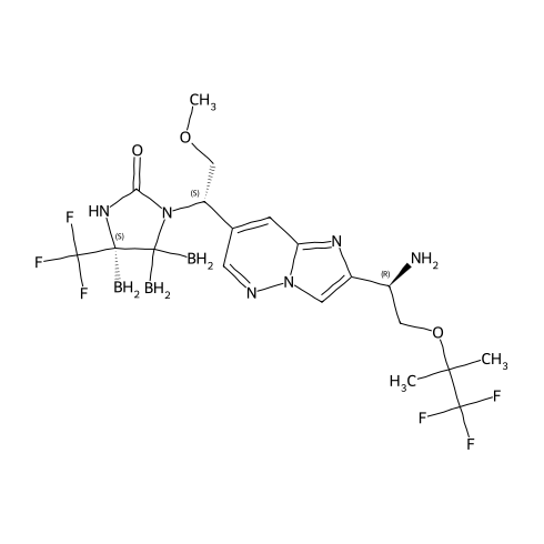 BC1(B)N([C@H](COC)c2cnn3cc([C@@H](N)COC(C)(C)C(F)(F)F)nc3c2)C(=O)N[C@]1(B)C(F)(F)F